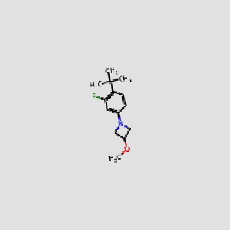 COC1CN(c2ccc(C(C)(C)C)c(F)c2)C1